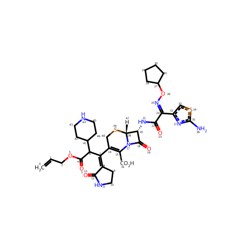 C=CCOC(=O)C(C(=C1CCNC1=O)C1=C(C(=O)O)N2C(=O)[C@@H](NC(=O)C(=NOC3CCCC3)c3csc(N)n3)[C@H]2SC1)C1CCNCC1